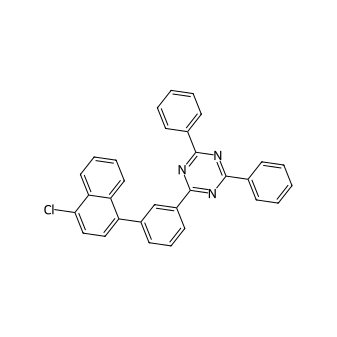 Clc1ccc(-c2cccc(-c3nc(-c4ccccc4)nc(-c4ccccc4)n3)c2)c2ccccc12